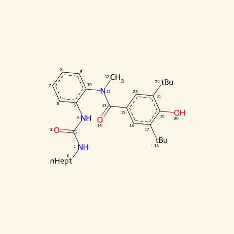 CCCCCCCNC(=O)Nc1ccccc1N(C)C(=O)c1cc(C(C)(C)C)c(O)c(C(C)(C)C)c1